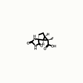 O=C1NC(=O)[C@@]2(CC[C@@H]3[C@H]2[C@@]3(F)C(=O)O)N1